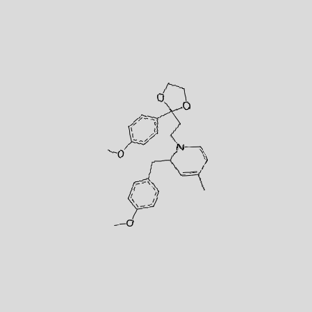 COc1ccc(CC2C=C(C)C=CN2CCC2(c3ccc(OC)cc3)OCCO2)cc1